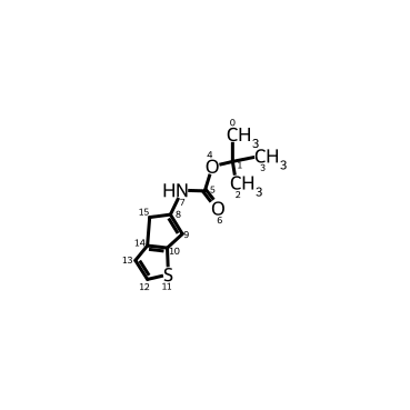 CC(C)(C)OC(=O)NC1=Cc2sccc2C1